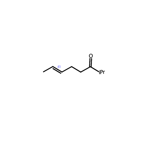 C/C=C/CCC(=O)C(C)C